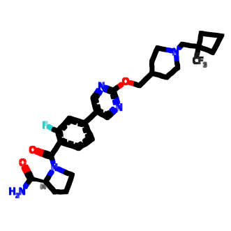 NC(=O)[C@@H]1CCCN1C(=O)c1ccc(-c2cnc(OCC3CCN(CC4(C(F)(F)F)CCC4)CC3)nc2)cc1F